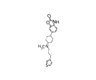 CN(CCCc1ccsc1)C1CCC(c2ccc3[nH]c(=O)oc3c2)CC1